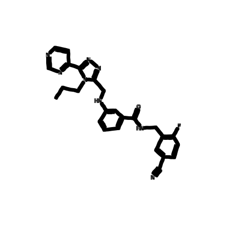 CCCn1c(CNc2cccc(C(=O)NCc3cc(C#N)ccc3F)c2)nnc1-c1ccncn1